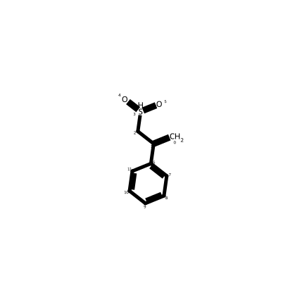 C=C(C[SH](=O)=O)c1ccccc1